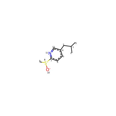 CC(C)Cc1ccc([S+](C)[O-])nc1